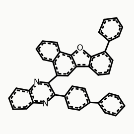 c1ccc(-c2ccc(-c3nc4ccccc4nc3-c3cc4c5cccc(-c6ccccc6)c5oc4c4ccccc34)cc2)cc1